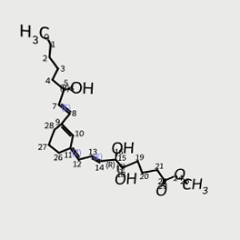 CCCCC[C@@H](O)/C=C/C1=CC(=C\C=C\[C@@H](O)[C@@H](O)CCCC(=O)OC)/CCC1